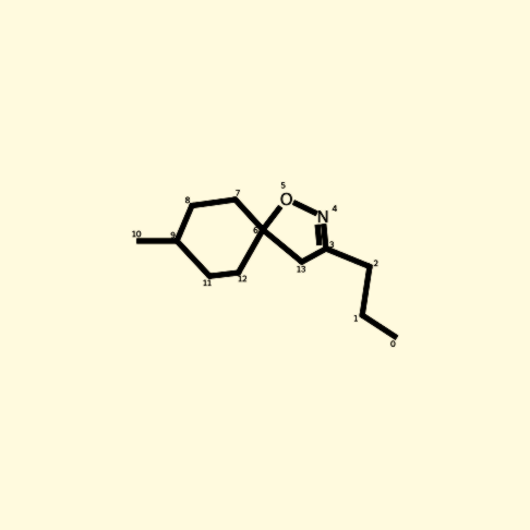 CCCC1=NOC2(CCC(C)CC2)C1